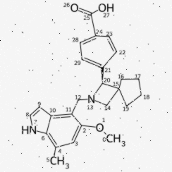 COc1cc(C)c2[nH]ccc2c1CN1CC2(CCCC2)[C@@H]1c1ccc(C(=O)O)cc1